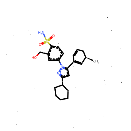 C[C@H]1C=C(c2cc(C3CCCCC3)nn2-c2ccc(S(N)(=O)=O)c(CO)c2)C=CC1